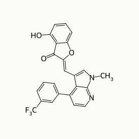 Cn1cc(C=C2Oc3cccc(O)c3C2=O)c2c(-c3cccc(C(F)(F)F)c3)ccnc21